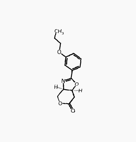 CCCOc1cccc(C2=N[C@@H]3COC(=O)C[C@@H]3O2)c1